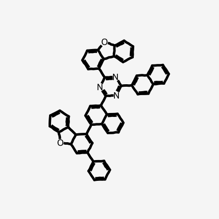 C1=C(c2ccccc2)C=C(c2ccc(-c3nc(-c4ccc5ccccc5c4)nc(-c4cccc5oc6ccccc6c45)n3)c3ccccc23)C2c3ccccc3OC12